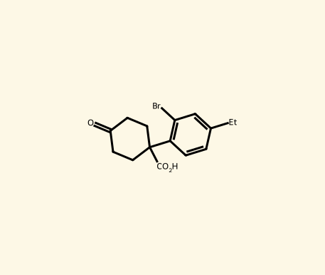 CCc1ccc(C2(C(=O)O)CCC(=O)CC2)c(Br)c1